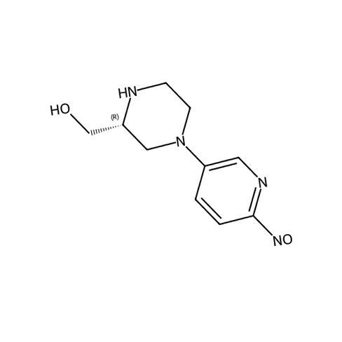 O=Nc1ccc(N2CCN[C@@H](CO)C2)cn1